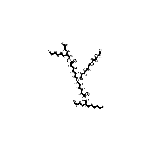 CCCCCCC(CCCC)COC(=O)CCCCCN(CCCCCC(=O)OCC(CCCC)CCCCCC)CCCOCCOCCOCC